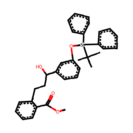 COC(=O)c1ccccc1CCC(O)c1cccc(O[Si](c2ccccc2)(c2ccccc2)C(C)(C)C)c1